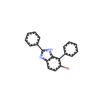 Brc1ccc2nc(-c3ccccc3)[nH]c2c1-c1ccccc1